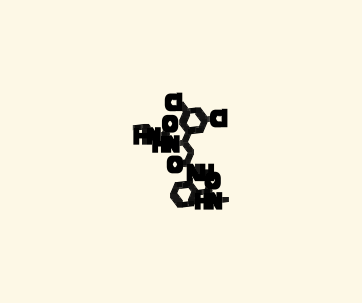 CCNC(=O)NC(CC(=O)Nc1ccccc1C(=O)NC)c1cc(Cl)cc(Cl)c1